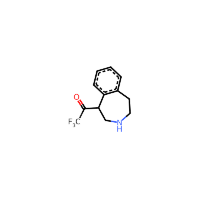 O=C(C1CNCCc2ccccc21)C(F)(F)F